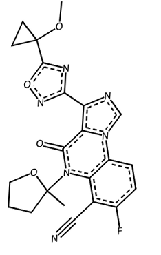 COC1(c2nc(-c3ncn4c3c(=O)n(C3(C)CCCO3)c3c(C#N)c(F)ccc34)no2)CC1